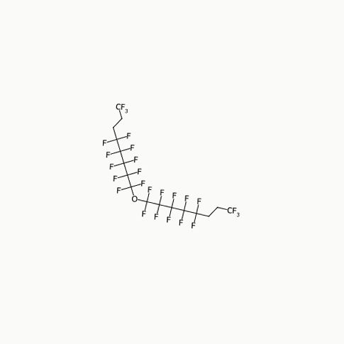 FC(F)(F)CCC(F)(F)C(F)(F)C(F)(F)C(F)(F)C(F)(F)OC(F)(F)C(F)(F)C(F)(F)C(F)(F)C(F)(F)CCC(F)(F)F